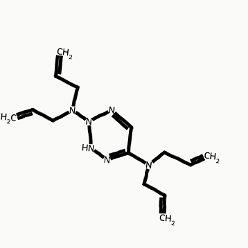 C=CCN(CC=C)C1=NNN(N(CC=C)CC=C)N=C1